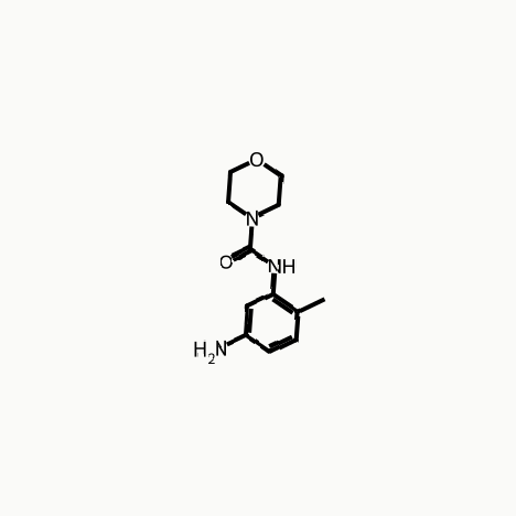 Cc1ccc(N)cc1NC(=O)N1CCOCC1